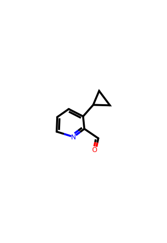 O=Cc1ncccc1C1CC1